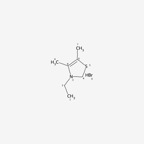 Br.CCN1CSC(C)=C1C